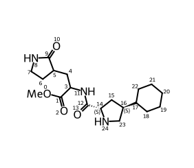 COC(=O)C(CC1CCNC1=O)NC(=O)[C@@H]1C[C@@H](C2CCCCC2)CN1